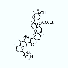 CCOC(=O)O[C@@H]1C=C[C@]2(O[C@H]([C@@H](CC)C(=O)[C@@H](C)[C@@H](O)[C@H](C)[C@@H]3O[C@@H]([C@@H](CC)C(=O)O)CC[C@@H]3C)[C@@H](C)C[C@H]2C)O[C@@]12CC[C@@](C)([C@H]1CC[C@](O)(CC)[C@H](C)O1)O2